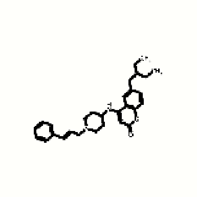 CCC(CC)Cc1ccc2oc(=O)cc(NC3CCN(CC=Cc4ccccc4)CC3)c2c1